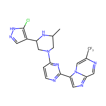 CC1CN(c2ccnc(-c3cnc4cnc(C(F)(F)F)cn34)n2)CC(c2cn[nH]c2Cl)N1